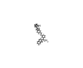 C=C(c1cccc(OCc2ccc3nc(-c4nnn[nH]4)oc3c2)c1)c1ccc2ccccc2n1